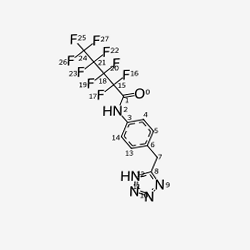 O=C(Nc1ccc(Cc2nnn[nH]2)cc1)C(F)(F)C(F)(F)C(F)(F)C(F)(F)F